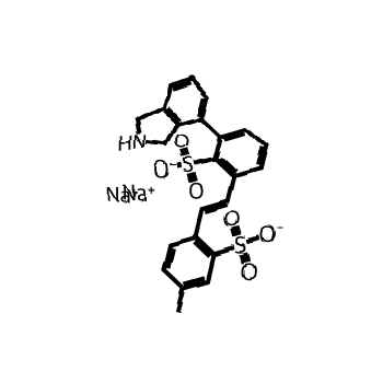 Cc1ccc(C=Cc2cccc(-c3cccc4c3CNC4)c2S(=O)(=O)[O-])c(S(=O)(=O)[O-])c1.[Na+].[Na+]